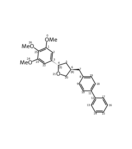 COc1cc([C@@H]2C[C@@H](Cc3ccc(-c4ccccc4)cc3)CO2)cc(OC)c1OC